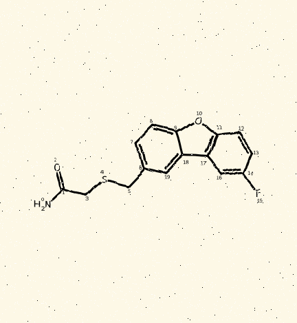 NC(=O)CSCc1ccc2oc3ccc(F)cc3c2c1